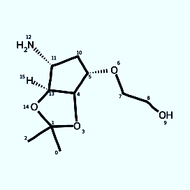 CC1(C)OC2[C@@H](OCCO)C[C@@H](N)[C@@H]2O1